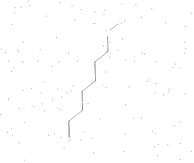 CCCCCCCCCCCCO[N+](=O)[O-].[Na+]